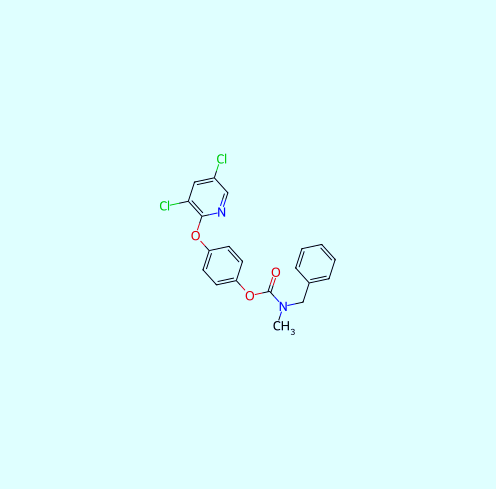 CN(Cc1ccccc1)C(=O)Oc1ccc(Oc2ncc(Cl)cc2Cl)cc1